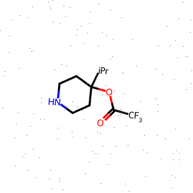 CC(C)C1(OC(=O)C(F)(F)F)CCNCC1